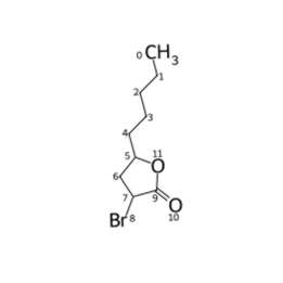 CCCCCC1CC(Br)C(=O)O1